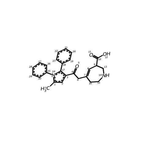 Cc1cc(C(=O)CC2=CC(C(=O)O)CNCC2)c(-c2ccccc2)n1-c1ccccc1